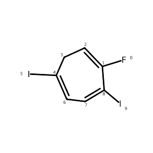 FC1=CCC(I)=CC=C1I